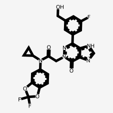 O=C(Cn1nc(-c2cc(F)cc(CO)c2)c2[nH]cnc2c1=O)N(c1ccc2c(c1)OC(F)(F)O2)C1CC1